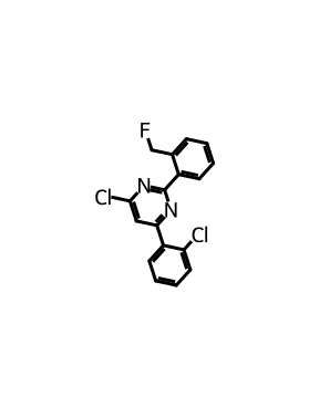 FCc1ccccc1-c1nc(Cl)cc(-c2ccccc2Cl)n1